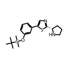 CC(C)(C)[Si](C)(C)Oc1cccc(-c2[c]nc([C@@H]3CCCN3)s2)c1